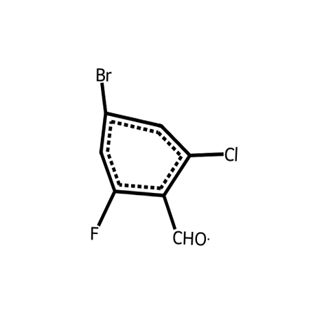 O=[C]c1c(F)cc(Br)cc1Cl